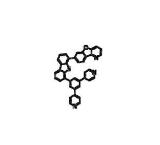 c1cnc2c(c1)oc1cc(-c3cccc4c3sc3c(-c5cc(-c6ccncc6)cc(-c6ccncc6)c5)cccc34)ccc12